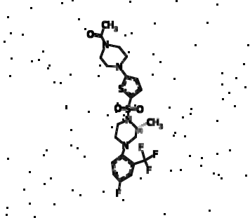 CC(=O)N1CCN(c2ccc(S(=O)(=O)N3CCN(c4ccc(F)cc4C(F)(F)F)C[C@H]3C)s2)CC1